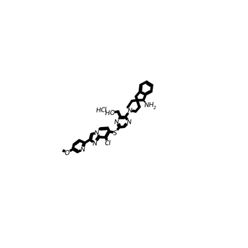 COc1ccc(-c2cn3ccc(Sc4cnc(N5CCC6(CC5)Cc5ccccc5[C@H]6N)c(CO)n4)c(Cl)c3n2)nc1.Cl